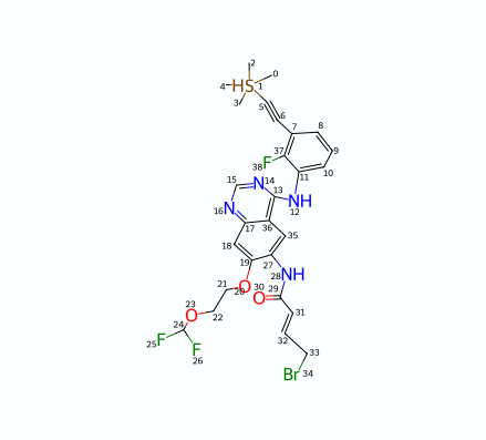 C[SH](C)(C)(C)C#Cc1cccc(Nc2ncnc3cc(OCCOC(F)F)c(NC(=O)/C=C/CBr)cc23)c1F